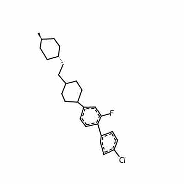 C[C@H]1CC[C@H](CCC2CCC(c3ccc(-c4ccc(Cl)cc4)c(F)c3)CC2)CC1